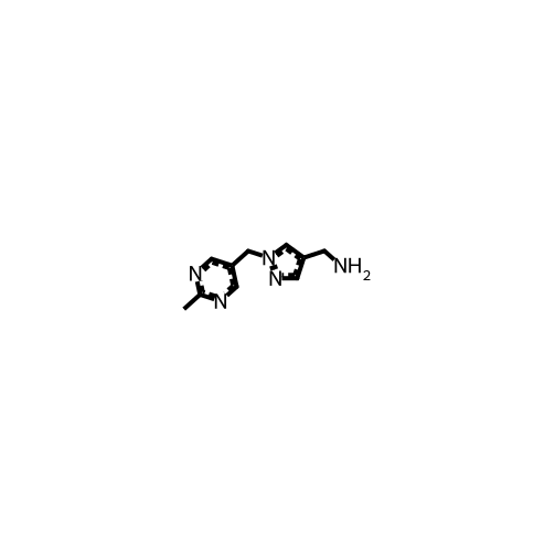 Cc1ncc(Cn2cc(CN)cn2)cn1